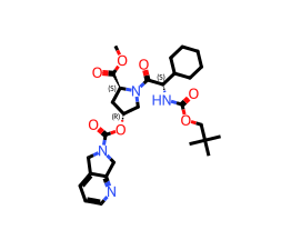 COC(=O)[C@@H]1C[C@@H](OC(=O)N2Cc3cccnc3C2)CN1C(=O)[C@@H](NC(=O)OCC(C)(C)C)C1CCCCC1